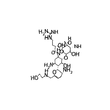 CN[C@@H]1[C@@H](O)[C@@H](O[C@H]2[C@H](NC(=O)[C@@H](O)CCNC(=N)N)C[C@H](N)C([C@H]3OC(CNCCO)=CC[C@H]3N)[C@@H]2O)OC[C@]1(C)O